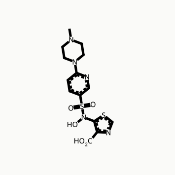 CN1CCN(c2ccc(S(=O)(=O)N(O)c3scnc3C(=O)O)cn2)CC1